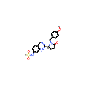 COc1ccc(CN2C(=O)CC[C@H]2C(N)=NCc2ccc(NS(C)(=O)=O)cc2)cc1